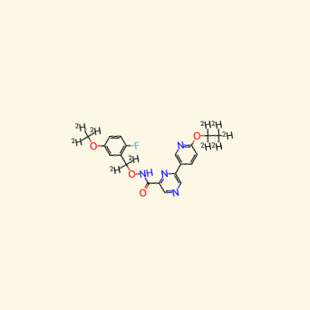 [2H]C([2H])([2H])Oc1ccc(F)c(C([2H])([2H])ONC(=O)c2cncc(-c3ccc(OC([2H])([2H])C([2H])([2H])[2H])nc3)n2)c1